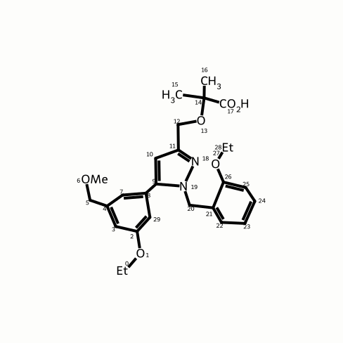 CCOc1cc(COC)cc(-c2cc(COC(C)(C)C(=O)O)nn2Cc2ccccc2OCC)c1